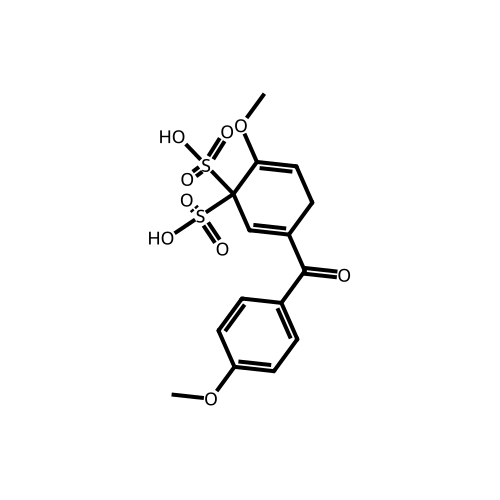 COC1=CCC(C(=O)c2ccc(OC)cc2)=CC1(S(=O)(=O)O)S(=O)(=O)O